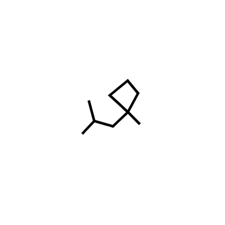 CC(C)CC1(C)CCC1